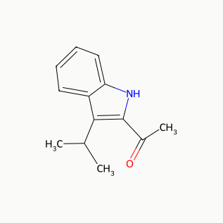 CC(=O)c1[nH]c2ccccc2c1C(C)C